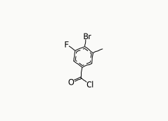 Cc1cc(C(=O)Cl)cc(F)c1Br